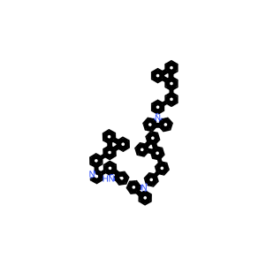 c1cc(-c2ccc(-n3c4ccccc4c4ccccc43)cc2)cc(-c2ccc3c4ccccc4c4ccccc4c3c2)c1.c1cc(-c2ccc3c4ccccc4c4ccccc4c3c2)cc(-c2ncccc2-c2cccc3c2[nH]c2ccccc23)c1.c1cc(-c2cccc(-n3c4ccccc4c4ccccc43)c2)cc(-c2ccc3c4ccccc4c4ccccc4c3c2)c1